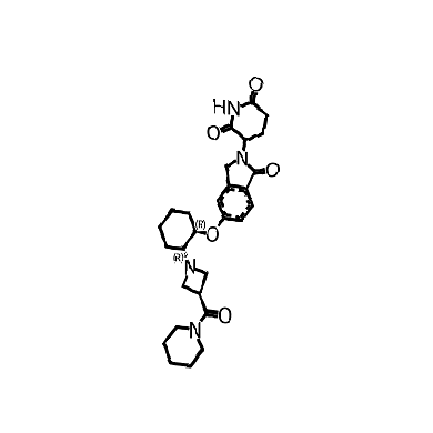 O=C1CCC(N2Cc3cc(O[C@@H]4CCCC[C@H]4N4CC(C(=O)N5CCCCC5)C4)ccc3C2=O)C(=O)N1